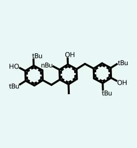 CCCCc1c(O)c(Cc2cc(C(C)(C)C)c(O)c(C(C)(C)C)c2)cc(C)c1Cc1cc(C(C)(C)C)c(O)c(C(C)(C)C)c1